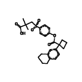 CC(C)(CS(=O)(=O)c1ccc(OC(=O)C2(c3ccc4c(c3)CCCC4)CCC2)cc1)C(=O)O